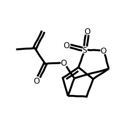 C=C(C)C(=O)OC1C2C=C3C(C2)C1OS3(=O)=O